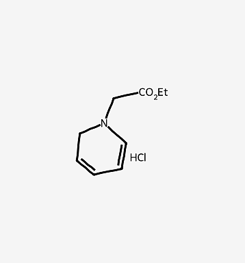 CCOC(=O)CN1C=CC=CC1.Cl